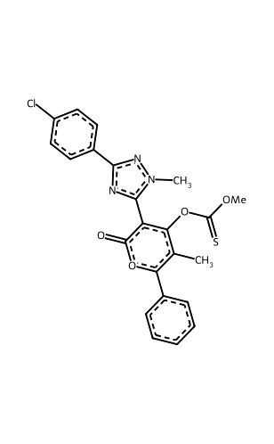 COC(=S)Oc1c(C)c(-c2ccccc2)oc(=O)c1-c1nc(-c2ccc(Cl)cc2)nn1C